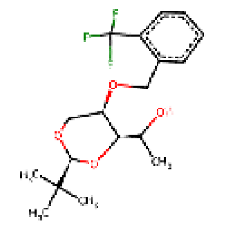 CC(O)[C@H]1O[C@@H](C(C)(C)C)OC[C@H]1OCc1ccccc1C(F)(F)F